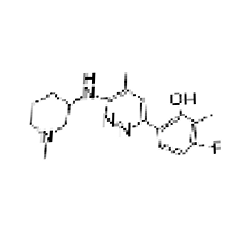 Cc1cc(-c2ccc(F)c(C)c2O)nnc1N[C@@H]1CCCN(C)C1